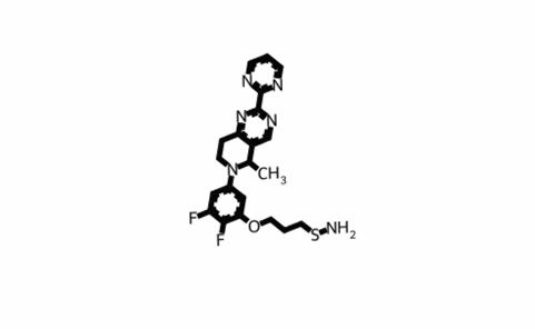 CC1c2cnc(-c3ncccn3)nc2CCN1c1cc(F)c(F)c(OCCCSN)c1